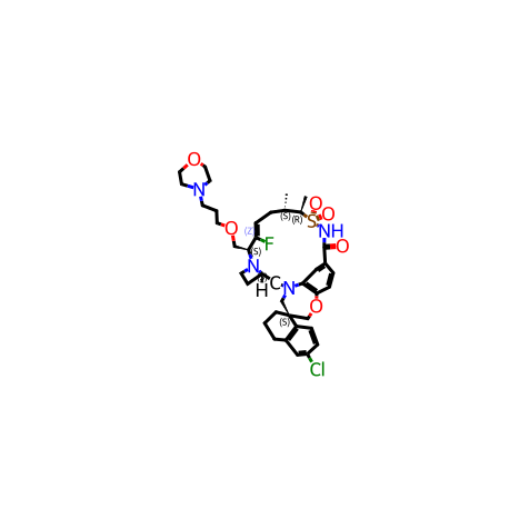 C[C@@H]1[C@@H](C)C/C=C(\F)[C@H](COCCCN2CCOCC2)N2CC[C@H]2CN2C[C@@]3(CCCc4cc(Cl)ccc43)COc3ccc(cc32)C(=O)NS1(=O)=O